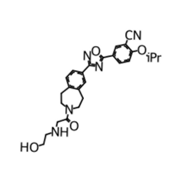 CC(C)Oc1ccc(-c2nc(-c3ccc4c(c3)CCN(C(=O)CNCCO)CC4)no2)cc1C#N